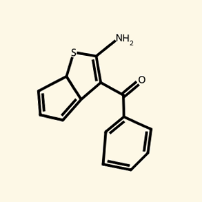 NC1=C(C(=O)c2ccccc2)C2=CC=CC2S1